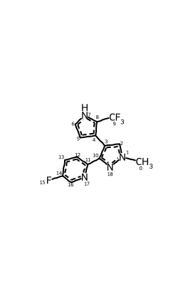 Cn1cc(-c2cc[nH]c2C(F)(F)F)c(-c2ccc(F)cn2)n1